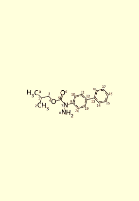 CC(C)COC(=O)N(N)c1ccc(-c2ccccc2)cc1